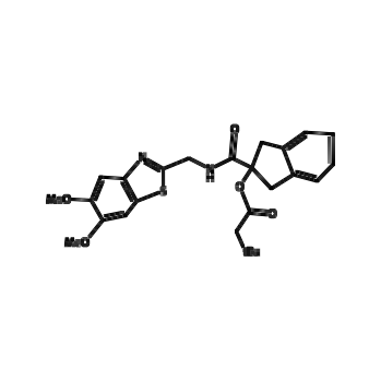 COc1cc2nc(CNC(=O)C3(OC(=O)CC(C)(C)C)Cc4ccccc4C3)sc2cc1OC